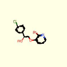 O[C@H](COc1cccnc1Br)c1ccc(Cl)cc1